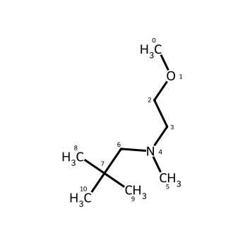 COCCN(C)CC(C)(C)C